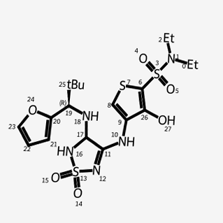 CCN(CC)S(=O)(=O)c1scc(NC2=NS(=O)(=O)NC2N[C@@H](c2ccco2)C(C)(C)C)c1O